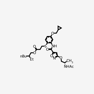 CCCCC(CC)COC(=O)CCSc1ccc(OCC2CC2)cc1NC(=O)c1cc(OC[C@H](C)NC(C)=O)no1